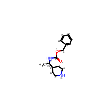 C[C@@H](NC(=O)OCc1ccccc1)C1CCNCC1